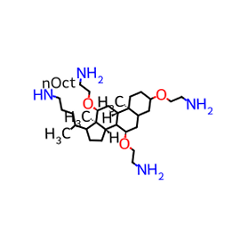 CCCCCCCCNCCCC(C)C1CC[C@H]2C3[C@H](OCCN)CC4CC(OCCN)CC[C@]4(C)[C@H]3C[C@H](OCCN)[C@]12C